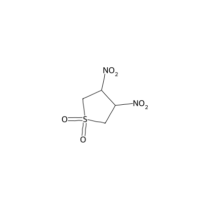 O=[N+]([O-])C1CS(=O)(=O)CC1[N+](=O)[O-]